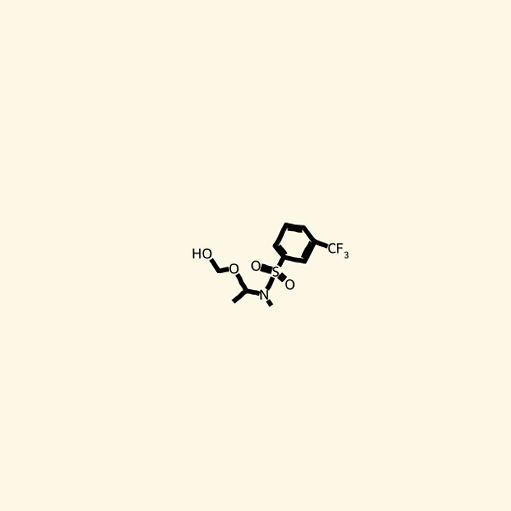 CC(OCO)N(C)S(=O)(=O)c1cccc(C(F)(F)F)c1